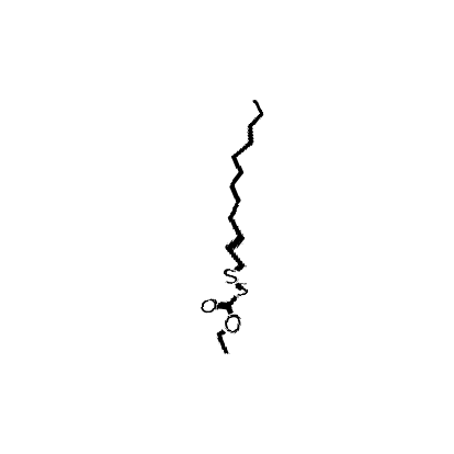 CCCCCCCCCCCCSSC(=O)OCC